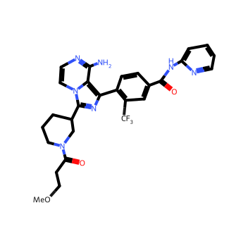 COCCC(=O)N1CCCC(c2nc(-c3ccc(C(=O)Nc4ccccn4)cc3C(F)(F)F)c3c(N)nccn23)C1